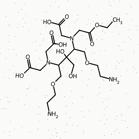 CCOC(=O)CN(CC(=O)O)C(COCCN)C(O)(CO)C(COCCN)N(CC(=O)O)CC(=O)O